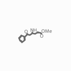 COC(=O)CCC(N)CC(=O)c1ccccc1